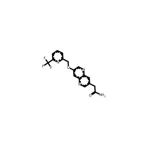 NC(=O)Cc1cnc2cc(OCc3cccc(C(F)(F)F)n3)cnc2c1